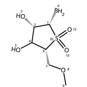 B[C@H]1[C@@H](O)C(O)[C@@H](COC)S1(=O)=O